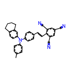 Cc1ccc(N(c2ccc(C=Cc3c(C#N)cc(C#N)cc3C#N)cc2)c2ccc3c(c2)CCCC3)cc1